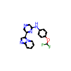 FC(F)Oc1ccc(Nc2cncc(-c3cnc4ccccn34)n2)cc1